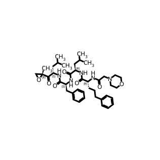 CC(C)C[C@H](NC(=O)[C@H](Cc1ccccc1)NC(=O)[C@@H](CC(C)C)NC(=O)[C@@H](CCCc1ccccc1)NC(=O)CN1CCOCC1)C(=O)[C@@]1(C)CO1